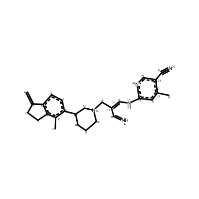 C=C1CCc2c1ccc(C1CCCN(C/C(C=N)=C/Nc3cc(C)c(C#N)cn3)C1)c2C